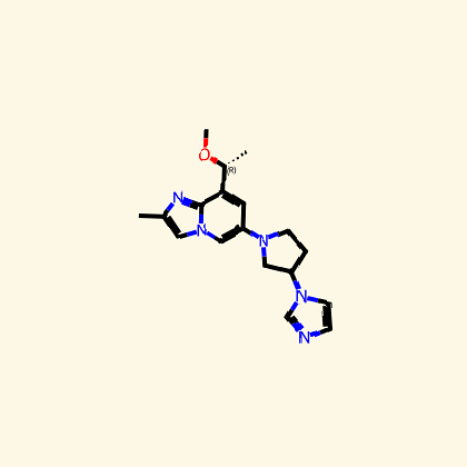 CO[C@H](C)c1cc(N2CCC(n3ccnc3)C2)cn2cc(C)nc12